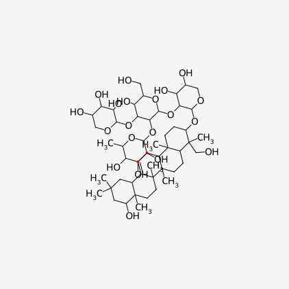 CC1OC(OC2C(OC3C(OC4CCC5(C)C(CCC6(C)C5CC=C5C7CC(C)(C)CC(O)C7(C)CCC56C)C4(C)CO)OCC(O)C3O)OC(CO)C(O)C2OC2OCC(O)C(O)C2O)C(O)C(O)C1O